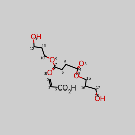 C=CC(=O)O.O=C(CCC(=O)OCCCO)OCCCO